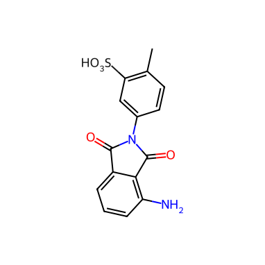 Cc1ccc(N2C(=O)c3cccc(N)c3C2=O)cc1S(=O)(=O)O